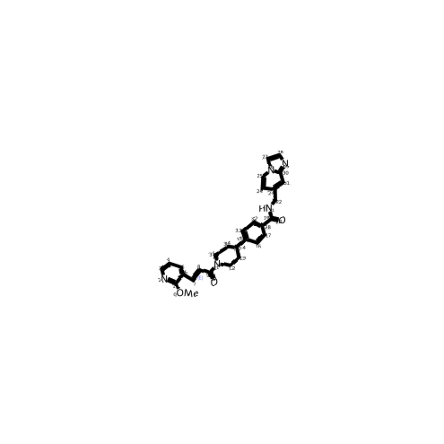 COc1ncccc1/C=C/C(=O)N1CCC(c2ccc(C(=O)NCc3ccn4ccnc4c3)cc2)CC1